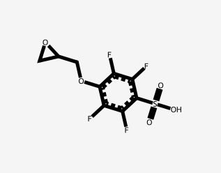 O=S(=O)(O)c1c(F)c(F)c(OCC2CO2)c(F)c1F